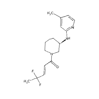 Cc1ccnc(N[C@@H]2CCCN(C(=O)C=CC(C)(F)F)C2)c1